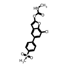 CNC(=O)Oc1cc2cc(-c3ccc(S(C)(=O)=O)cc3)cc(Cl)c2o1